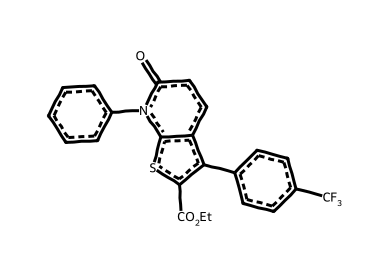 CCOC(=O)c1sc2c(ccc(=O)n2-c2ccccc2)c1-c1ccc(C(F)(F)F)cc1